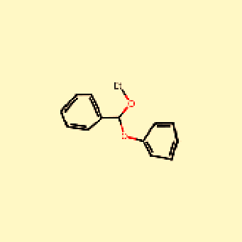 CCOC(Oc1cc[c]cc1)c1ccccc1